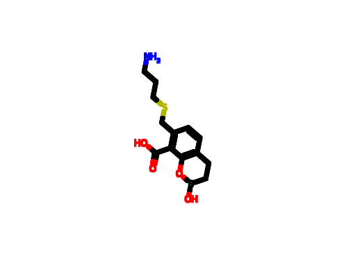 NCCCSCc1ccc2c(c1C(=O)O)OB(O)CC2